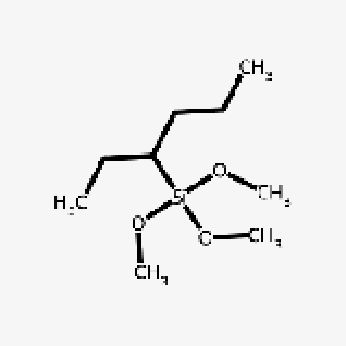 CCCC(CC)[Si](OC)(OC)OC